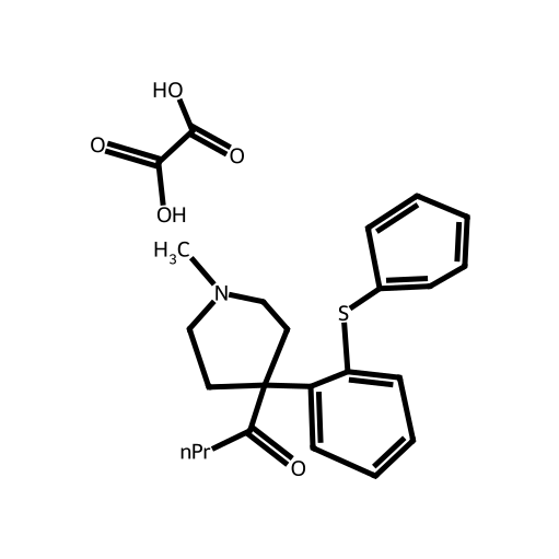 CCCC(=O)C1(c2ccccc2Sc2ccccc2)CCN(C)CC1.O=C(O)C(=O)O